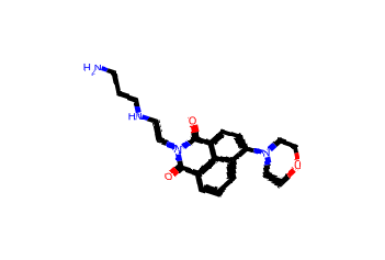 NCCCNCCN1C(=O)c2cccc3c(N4CCOCC4)ccc(c23)C1=O